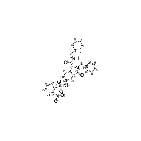 O=C(NCc1ccccc1)C1c2ccc(NS(=O)(=O)c3ccccc3[N+](=O)[O-])cc2C(=O)N1Cc1ccccc1